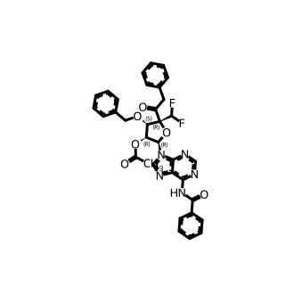 CC(=O)O[C@H]1[C@H](n2cnc3c(NC(=O)c4ccccc4)ncnc32)O[C@](C(=O)Cc2ccccc2)(C(F)F)[C@H]1OCc1ccccc1